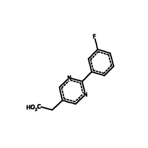 O=C(O)Cc1cnc(-c2cccc(F)c2)nc1